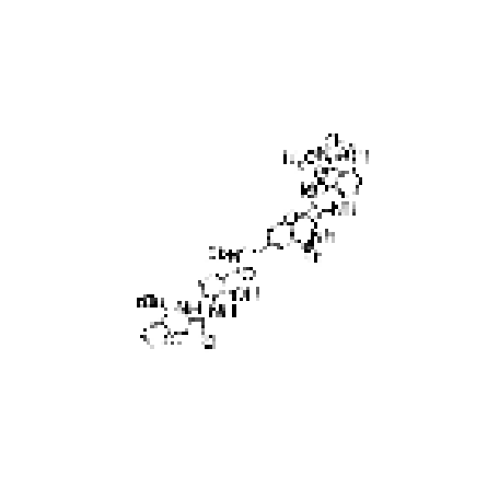 CC[C@@H](Nc1c(Nc2ccc(Cl)c(S(=O)(=O)N(C)C)c2O)c(=O)c1=O)c1cccc(CCN(CC)C(=O)c2cccc(Nc3c(NC(c4ccccc4)C(C)(C)C)c(=O)c3=O)c2O)c1